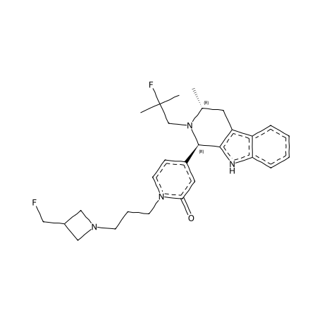 C[C@@H]1Cc2c([nH]c3ccccc23)[C@@H](c2ccn(CCCN3CC(CF)C3)c(=O)c2)N1CC(C)(C)F